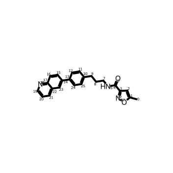 Cc1cc(C(=O)NCCCc2ccc(-c3ccc4ncccc4c3)cc2)no1